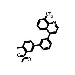 Cc1ccc(-c2cccc(-c3ccnc4c(C(F)(F)F)cccc34)c2)cc1S(C)(=O)=O